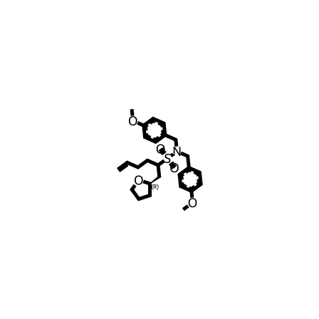 C=CCCC(C[C@H]1CCCO1)S(=O)(=O)N(Cc1ccc(OC)cc1)Cc1ccc(OC)cc1